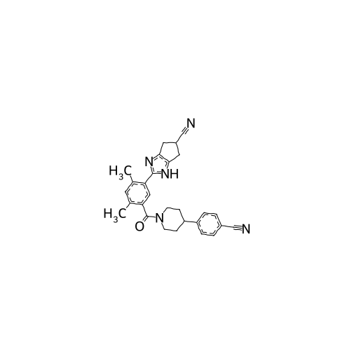 Cc1cc(C)c(-c2nc3c([nH]2)CC(C#N)C3)cc1C(=O)N1CCC(c2ccc(C#N)cc2)CC1